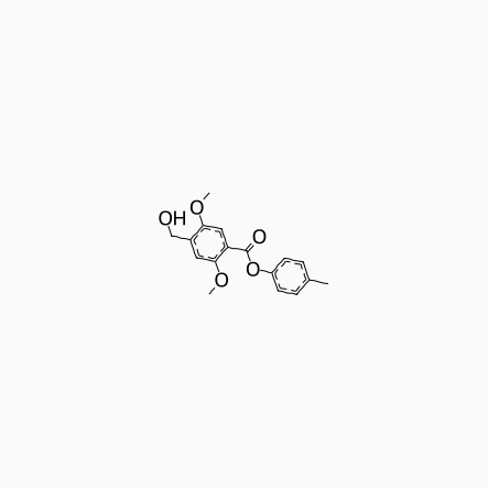 COc1cc(C(=O)Oc2ccc(C)cc2)c(OC)cc1CO